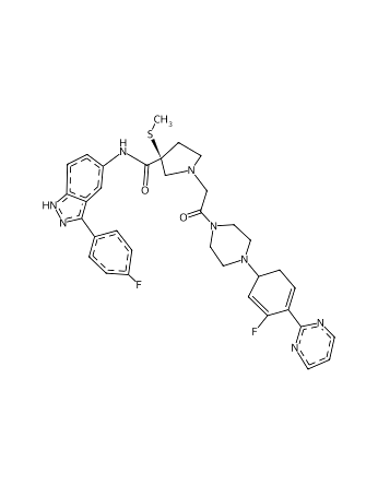 CS[C@@]1(C(=O)Nc2ccc3[nH]nc(-c4ccc(F)cc4)c3c2)CCN(CC(=O)N2CCN(C3C=C(F)C(c4ncccn4)=CC3)CC2)C1